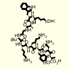 CCCCCCCCCCCCCC(=O)N[C@@H](Cc1c[nH]c2ccccc12)C(=O)N[C@@H](C)C(=O)NCC(=O)N[C@H](C(=O)N[C@@H](CCCCN)C(=O)N[C@@H](CCCCN)C(=O)N[C@@H](Cc1ccc(O)cc1)C(=O)N[C@@H](CC(N)=O)C(=O)N[C@@H](C)C(=O)O)[C@@H](C)CC